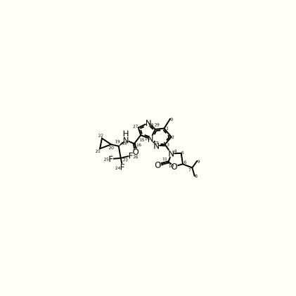 Cc1cc(N2CC(C(C)C)OC2=O)nn2c(C(=O)N[C@H](C3CC3)C(F)(F)F)cnc12